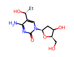 CC[C@@H](O)c1cn([C@H]2CC(O)[C@@H](CO)O2)c(=O)nc1N